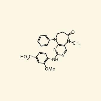 COc1cc(C(=O)O)ccc1Nc1ncc2c(n1)N(c1ccccc1)CCC(=O)N2C